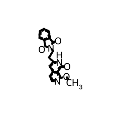 COc1nccc2cc(CCN3C(=O)c4ccccc4C3=O)[nH]c(=O)c12